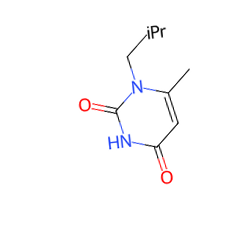 Cc1cc(=O)[nH]c(=O)n1CC(C)C